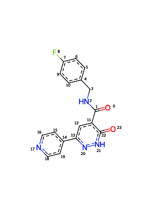 O=C(NCc1ccc(F)cc1)c1cc(-c2ccncc2)n[nH]c1=O